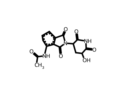 CC(=O)Nc1cccc2c1C(=O)N(C1CC(O)C(=O)NC1=O)C2=O